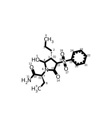 CCC[C@H]1C(O)N([C@@H](CC)C(N)=O)C(=O)C1S(=O)(=O)c1ccccc1